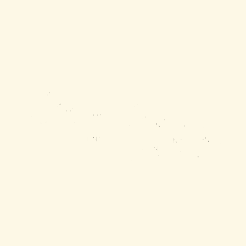 Cc1csc(OCC(=O)Nc2ccc3nc(N4CCN(C)CC4)nc(C)c3c2)c1